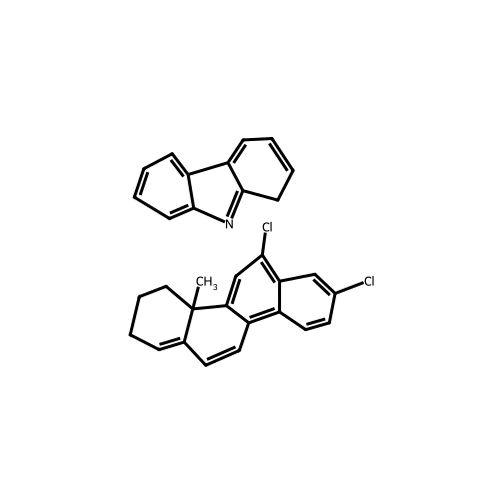 C1=CCC2=Nc3ccccc3C2=C1.CC12CCCC=C1C=Cc1c2cc(Cl)c2cc(Cl)ccc12